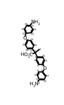 CC(C(=O)O)(c1ccc(Oc2ccc(N)cc2)cc1)c1ccc(Oc2ccc(N)cc2)cc1